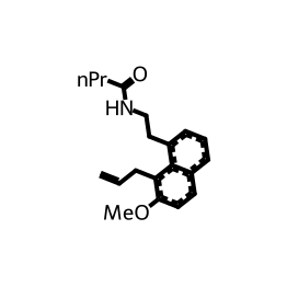 C=CCc1c(OC)ccc2cccc(CCNC(=O)CCC)c12